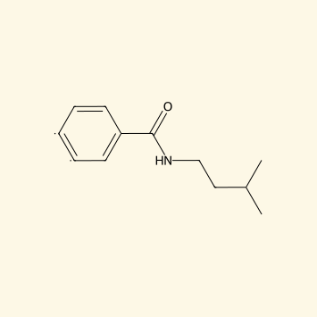 CC(C)CCNC(=O)c1c[c][c]cc1